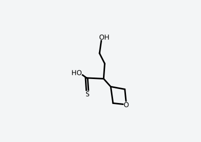 OCCC(C(O)=S)C1COC1